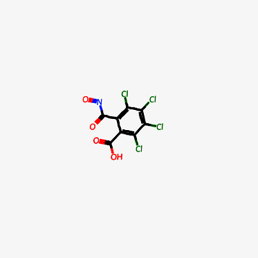 O=NC(=O)c1c(Cl)c(Cl)c(Cl)c(Cl)c1C(=O)O